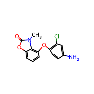 Cn1c(=O)oc2cccc(Oc3ccc(N)cc3Cl)c21